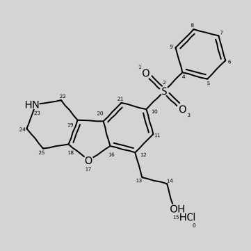 Cl.O=S(=O)(c1ccccc1)c1cc(CCO)c2oc3c(c2c1)CNCC3